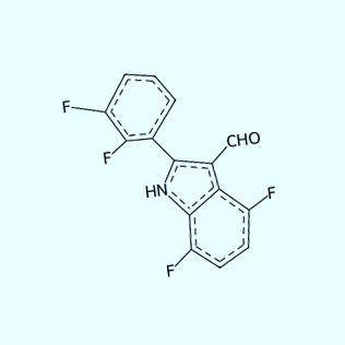 O=Cc1c(-c2cccc(F)c2F)[nH]c2c(F)ccc(F)c12